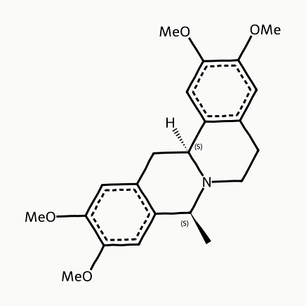 COc1cc2c(cc1OC)[C@H](C)N1CCc3cc(OC)c(OC)cc3[C@@H]1C2